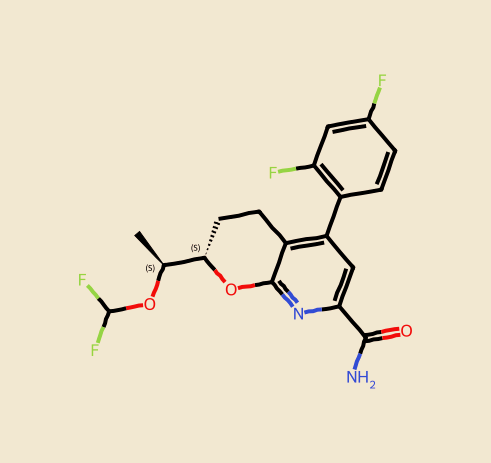 C[C@H](OC(F)F)[C@@H]1CCc2c(-c3ccc(F)cc3F)cc(C(N)=O)nc2O1